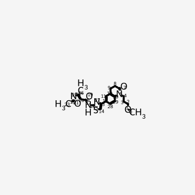 COCCCN1C(=O)CCc2cc(-c3csc(NC(=O)c4oc(C)nc4C)n3)ccc21